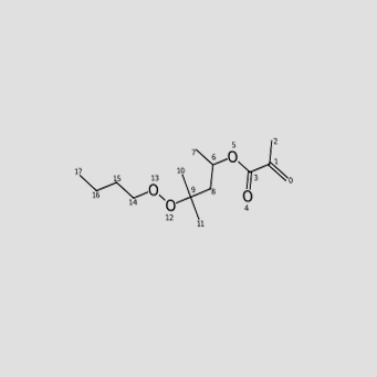 C=C(C)C(=O)OC(C)CC(C)(C)OOCCCC